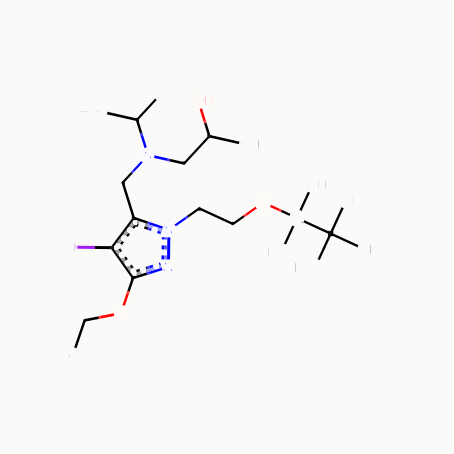 CCOc1nn(CCO[Si](C)(C)C(C)(C)C)c(CN(CC(C)O)C(C)C)c1I